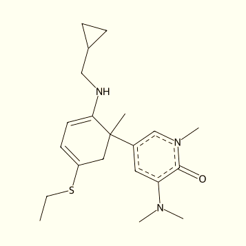 CCSC1=CC=C(NCC2CC2)C(C)(c2cc(N(C)C)c(=O)n(C)c2)C1